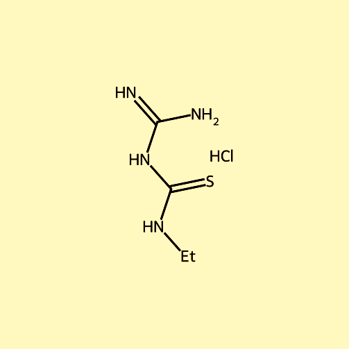 CCNC(=S)NC(=N)N.Cl